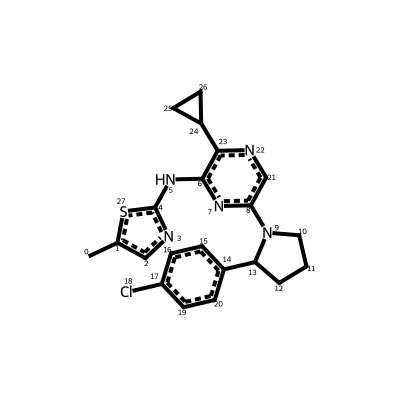 Cc1cnc(Nc2nc(N3CCCC3c3ccc(Cl)cc3)cnc2C2CC2)s1